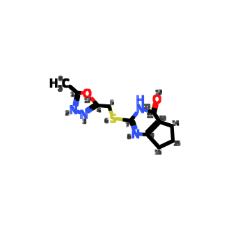 Cc1nnc(CSc2nc3c(c(=O)[nH]2)CCC3)o1